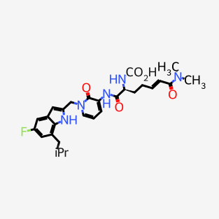 CC(C)Cc1cc(F)cc2cc(Cn3cccc(NC(=O)[C@H](CC/C=C/C(=O)N(C)C)NC(=O)O)c3=O)[nH]c12